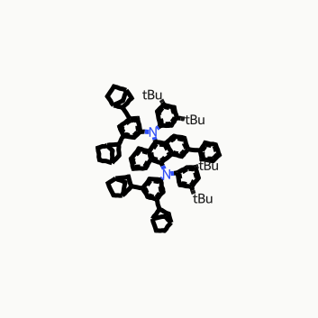 CC(C)(C)c1cc(N(c2cc(C3CC4CCC3C4)cc(C3CC4CCC3C4)c2)c2c3ccccc3c(N(c3cc(C4CC5CCC4C5)cc(C4CC5CCC4C5)c3)c3cc(C(C)(C)C)cc(C(C)(C)C)c3)c3cc(-c4ccccc4)ccc23)cc(C(C)(C)C)c1